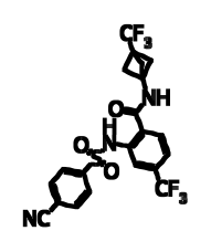 N#Cc1ccc(S(=O)(=O)Nc2cc(C(F)(F)F)ccc2C(=O)NC23CC(C(F)(F)F)(C2)C3)cc1